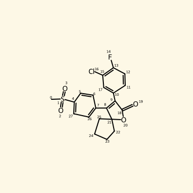 CS(=O)(=O)c1ccc(C2=C(c3ccc(F)c(Cl)c3)C(=O)OC23CCCC3)cc1